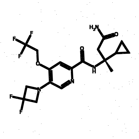 C[C@](CC(N)=O)(NC(=O)c1cc(OCC(F)(F)F)c(N2CC(F)(F)C2)cn1)C1CC1